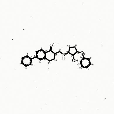 O=C1c2ccc(-c3ccccc3)cc2CCC1CNC1CCC(Oc2ccccc2)C1O